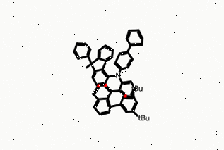 CC(C)(C)c1cc(-c2cccc3cccc(-c4ccccc4N(c4ccc(-c5ccccc5)cc4)c4cccc5c4-c4ccccc4C5(C)c4ccccc4)c23)cc(C(C)(C)C)c1